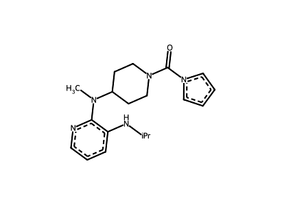 CC(C)Nc1cccnc1N(C)C1CCN(C(=O)n2cccc2)CC1